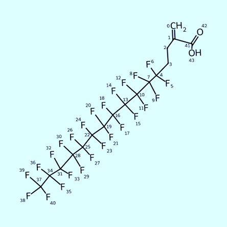 C=C(CCC(F)(F)C(F)(F)C(F)(F)C(F)(F)C(F)(F)C(F)(F)C(F)(F)C(F)(F)C(F)(F)C(F)(F)C(F)(F)C(F)(F)F)C(=O)O